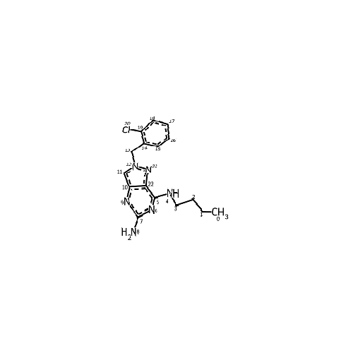 CCCCNc1nc(N)nc2cn(Cc3ccccc3Cl)nc12